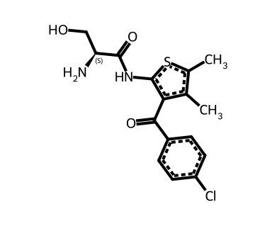 Cc1sc(NC(=O)[C@@H](N)CO)c(C(=O)c2ccc(Cl)cc2)c1C